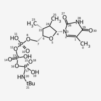 Cc1cn([C@@H]2O[C@H](COP(=O)(O)OP(=O)(O)OP(=O)(O)NC(C)(C)C)[C@H](C)C2C)c(=O)[nH]c1=O